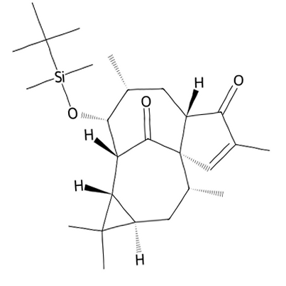 CC1=C[C@]23C(=O)[C@@H]([C@H](O[Si](C)(C)C(C)(C)C)[C@H](C)C[C@@H]2C1=O)[C@@H]1[C@@H](C[C@H]3C)C1(C)C